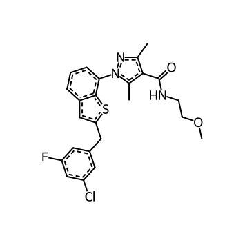 COCCNC(=O)c1c(C)nn(-c2cccc3cc(Cc4cc(F)cc(Cl)c4)sc23)c1C